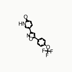 O=c1ccc(-c2cc(-c3ccc(OC(F)(F)F)cc3)on2)c[nH]1